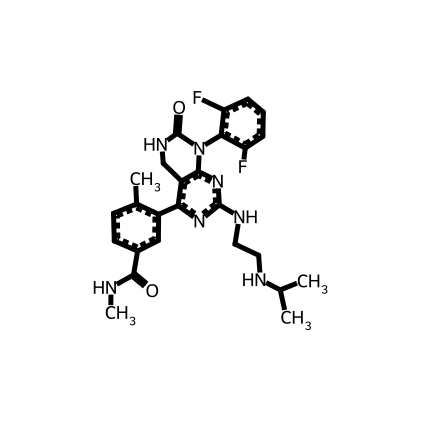 CNC(=O)c1ccc(C)c(-c2nc(NCCNC(C)C)nc3c2CNC(=O)N3c2c(F)cccc2F)c1